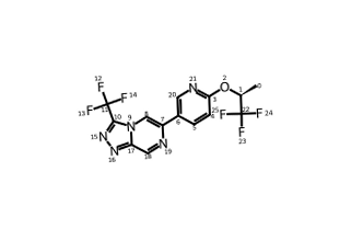 C[C@H](Oc1ccc(-c2cn3c(C(F)(F)F)nnc3cn2)cn1)C(F)(F)F